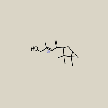 C=C(/C=C(\C)CO)C1CC2CC2(C)C1(C)C